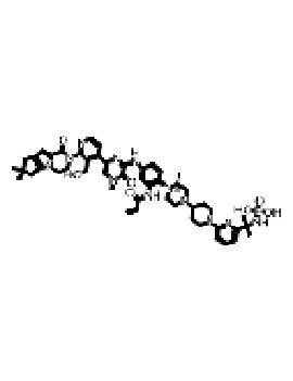 C=CC(=O)Nc1cc(Nc2nc(-c3ccnc(N4CCn5c(cc6c5CC(C)(C)C6)C4=O)c3CO)cn(C)c2=O)ccc1N1CCN(C2CCN(c3cccc(C(C)(C)NP(=O)(O)O)n3)CC2)C[C@@H]1C